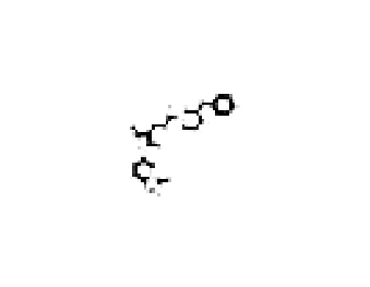 Cc1nn(-c2ccc3nnc(C)n3c2)c(C)c1CCC(=O)N1CCCC(Cc2ccccc2)C1